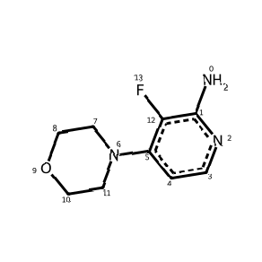 Nc1nccc(N2CCOCC2)c1F